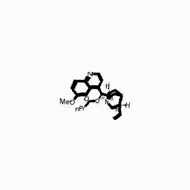 C=C[C@H]1CN2CCC1C[C@@H]2[C@@H](OC(=O)CCC)c1ccnc2ccc(OC)cc12